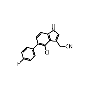 N#CCc1c[nH]c2ccc(-c3ccc(F)cc3)c(Cl)c12